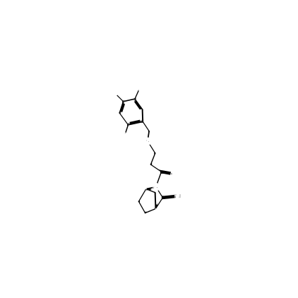 N=C1C2CCC(C2)N1C(=O)CCNCc1cc(F)c(F)cc1F